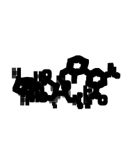 CNC(=O)c1cc(-c2cccc(CN3O[C@@H](CN(C)C)[C@@H]([C@H](C)O)[C@H]3C(=O)N[C@H]3C[C@H]4C[C@@H]([C@@H]3C)C4(C)C)c2C)cc(N(C)C)c1